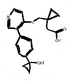 O=C(O)CC1(CSc2ccncc2-c2ccc(C3(O)CC3)cc2)CC1